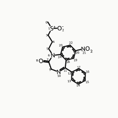 C[S+]([O-])CCCN1C(=O)CN=C(c2ccccc2)c2cc([N+](=O)[O-])ccc21